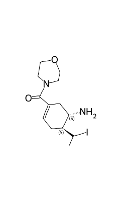 CC(I)[C@H]1CC=C(C(=O)N2CCOCC2)C[C@@H]1N